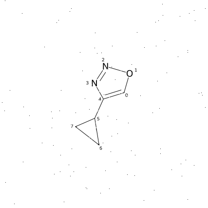 c1onnc1C1CC1